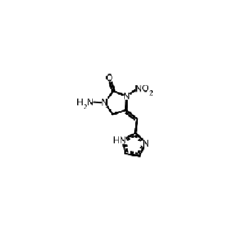 NN1CC(=Cc2ncc[nH]2)N([N+](=O)[O-])C1=O